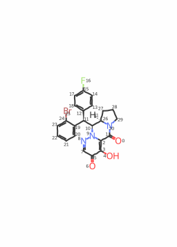 O=C1c2c(O)c(=O)cnn2[C@@H]([C@H](c2ccc(F)cc2)c2ccccc2Br)[C@H]2CCCN12